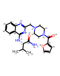 CC(C)[C@H](Nc1nc(CN2CCN(C(=O)c3ccco3)CC2)nc2ccccc12)C(N)=O